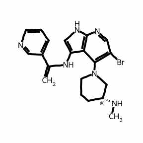 C=C(Nc1c[nH]c2ncc(Br)c(N3CCC[C@@H](NC)C3)c12)c1cccnc1